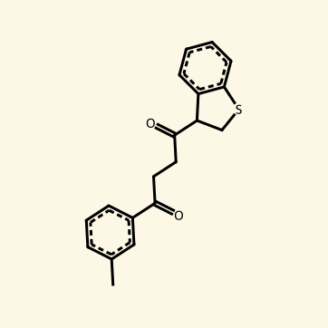 Cc1cccc(C(=O)CCC(=O)C2CSc3ccccc32)c1